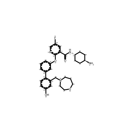 N[C@H]1CC[C@H](NC(=O)c2cc(F)cnc2Oc2cccc(-c3ccc(O)cc3CN3CCCOCC3)c2)CC1